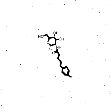 CC[C@@H]1OC(CO)[C@@H](O)C(O)[C@@H]1NC(=O)CCCCc1ccc(F)cc1